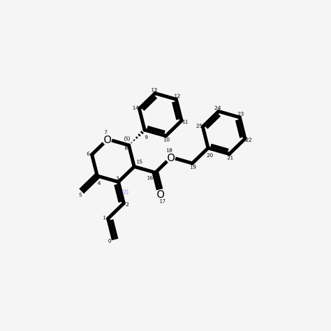 C=C/C=C1\C(=C)CO[C@H](c2ccccc2)C1C(=O)OCc1ccccc1